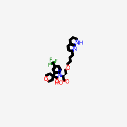 O=C(O)[C@H](CCOCCCCc1ccc2c(n1)NCCC2)NC(=O)C1(c2cccc(C(F)(F)F)c2)CCOCC1